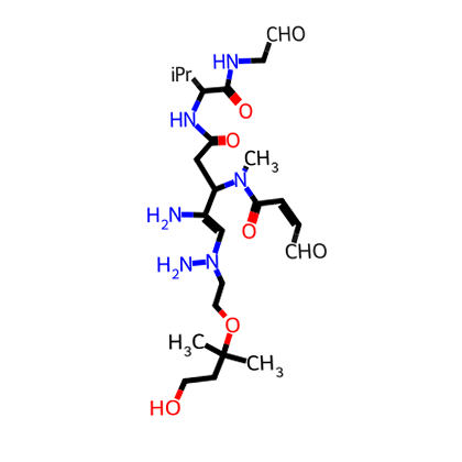 CC(C)C(NC(=O)CC(/C(N)=C/N(N)CCOC(C)(C)CCO)N(C)C(=O)/C=C\C=O)C(=O)NCC=O